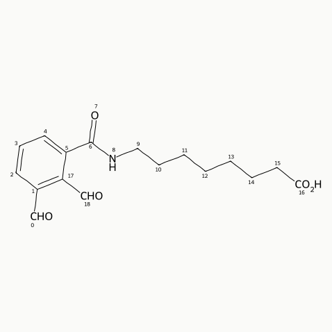 O=Cc1cccc(C(=O)NCCCCCCCC(=O)O)c1C=O